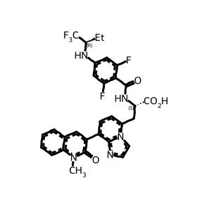 CC[C@@H](Nc1cc(F)c(C(=O)N[C@@H](Cc2ccc(-c3cc4ccccc4n(C)c3=O)c3nccn23)C(=O)O)c(F)c1)C(F)(F)F